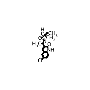 CCC(C)(C)[S@+]([O-])/N=C(\C)c1cc2cc(Cl)ccc2[nH]c1=O